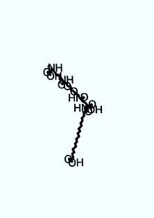 CN[C@@H](CCCCNC(=O)COCCOCCNC(=O)CCC(NC(=O)CCCCCCCCCCCCCCCCCCC(=O)O)C(=O)O)C(=O)O